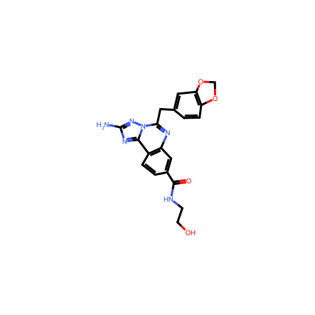 Nc1nc2c3ccc(C(=O)NCCO)cc3nc(Cc3ccc4c(c3)OCO4)n2n1